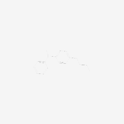 CCCCc1ccc(P(C)c2ccccc2)cc1